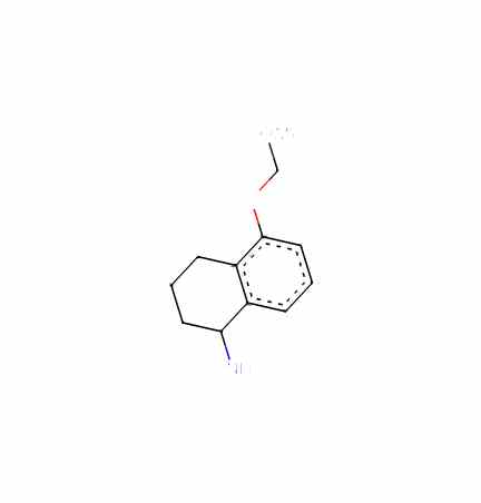 COCOc1cccc2c1CCCC2N